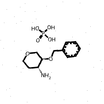 N[C@@H]1CCOC[C@H]1OCc1ccccc1.O=P(O)(O)O